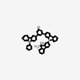 CC1(C)c2ccccc2-c2ccc(-n3c4ccccc4c4ccc(-c5cc(Cl)cc(-c6ccc7c(c6)c6ccccc6n7-c6ccccc6)c5)cc43)cc21